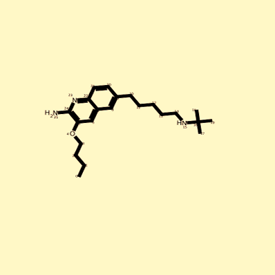 CCCCOc1cc2cc(CCCCCNC(C)(C)C)ccc2nc1N